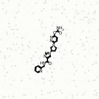 NC(=O)Oc1ccc(N2CCC(n3cc(C(=O)NCc4ccccn4)nn3)C2)nn1